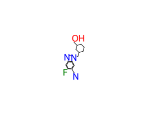 N#Cc1cc2c(cc1F)ncn2CC1CCCC(CO)C1